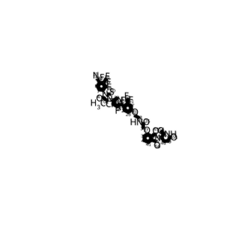 CC1(C)C(=O)N(c2ccc(C#N)c(C(F)(F)F)c2F)C(=S)N1c1cnc(-c2ccc(OCCNC(=O)COc3cccc4c3C(=O)N(C3CCC(=O)NC3=O)C4=O)cc2C(F)(F)F)c(F)c1